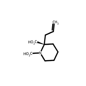 C=CC[C@]1(C(=O)O)CCCCN1C(=O)O